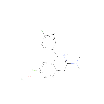 CN(C)C1=NC(c2ccc(Cl)cc2)c2cc(F)ccc2C1.Cl.O